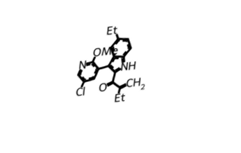 C=C(CC)C(=O)c1[nH]c2ccc(CC)cc2c1-c1cc(Cl)cnc1OC